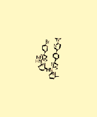 Cc1cccc(Nc2nc(-c3ccc(-c4ccc(N(C)C)nc4)cc3)cs2)n1.Cc1cccc(Nc2nc(-c3ccc(Br)cc3)cs2)n1.N